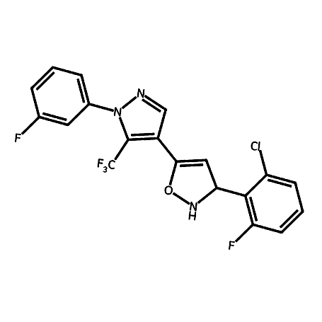 Fc1cccc(-n2ncc(C3=CC(c4c(F)cccc4Cl)NO3)c2C(F)(F)F)c1